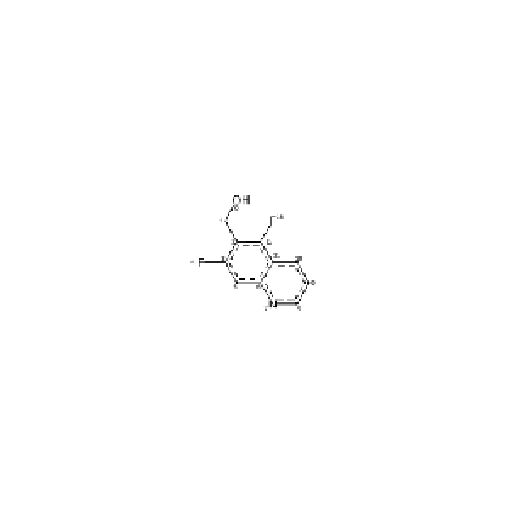 OCc1c(F)cc2ncccc2c1F